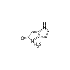 O=C1C=c2[nH]ccc2=N1.S